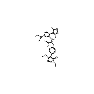 CCN(CC)c1ncc(-c2c(C)nsc2C)c(N[C@@H](Cc2ccc(-c3c(OC)ncn(CC)c3=O)cc2)C(=O)O)n1